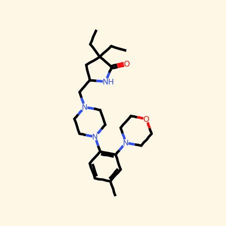 CCC1(CC)CC(CN2CCN(c3ccc(C)cc3N3CCOCC3)CC2)NC1=O